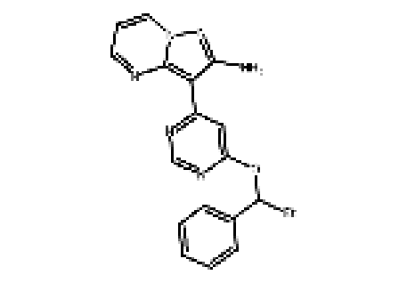 CCC(Oc1cc(-c2c(N)nn3cccnc23)ncn1)c1ccccc1